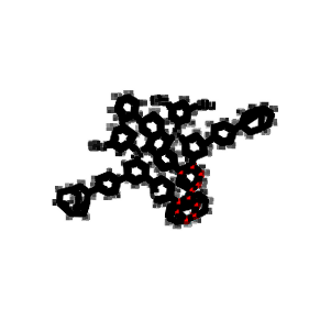 CC(C)(C)c1cc(N(c2cc(-c3ccc(C4CC5CC6CCC4C(C6)C5)cc3)cc(-c3ccc(C45CC6CC(CC(C6)C4)C5)cc3)c2)c2c3ccc(-c4ccccc4)cc3c(N(c3cc(-c4ccc(C56CC7CC(CC(C7)C5)C6)cc4)cc(-c4ccc(C56CC7CC(CC(C7)C5)C6)cc4)c3)c3cc(C(C)(C)C)cc(C(C)(C)C)c3)c3ccc(-c4ccccc4)cc23)cc(C(C)(C)C)c1